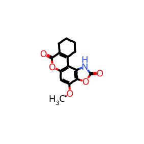 COc1cc2oc(=O)c3c(c2c2[nH]c(=O)oc12)CCCC3